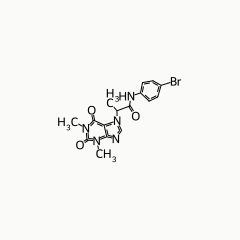 CC(C(=O)Nc1ccc(Br)cc1)n1cnc2c1c(=O)n(C)c(=O)n2C